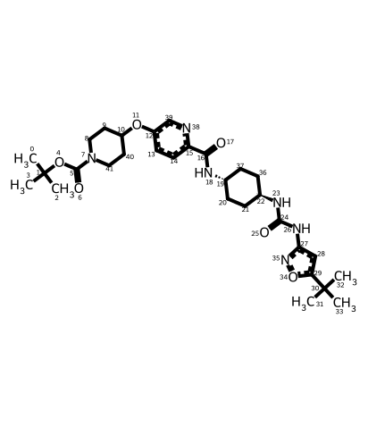 CC(C)(C)OC(=O)N1CCC(Oc2ccc(C(=O)N[C@H]3CC[C@H](NC(=O)Nc4cc(C(C)(C)C)on4)CC3)nc2)CC1